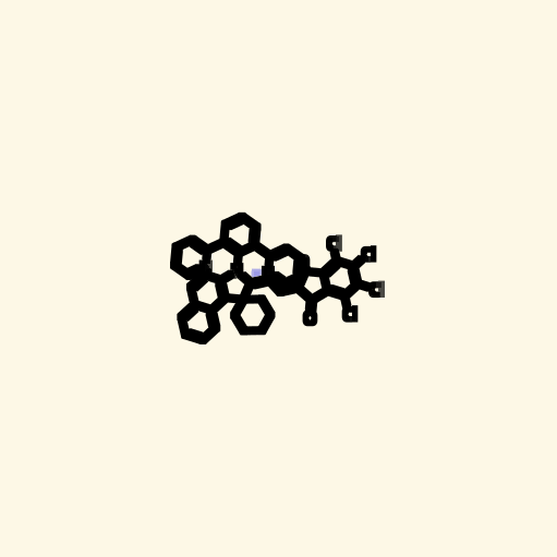 O=C1C(=C/C=C2/N(c3c(-c4ccccn4)cccc3-c3ccccn3)c3ccc4ccccc4c3C23CCCCC3)C(=O)c2c(Cl)c(Cl)c(Cl)c(Cl)c21